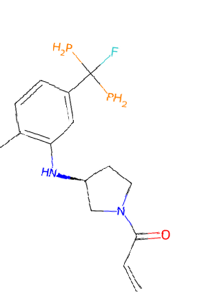 C=CC(=O)N1CC[C@H](Nc2cc(C(F)(P)P)ccc2C)C1